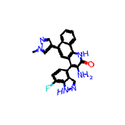 Cn1cc(-c2cc3c(-c4ccc(F)c5[nH]ncc45)c(N)c(=O)[nH]c3c3ccccc23)cn1